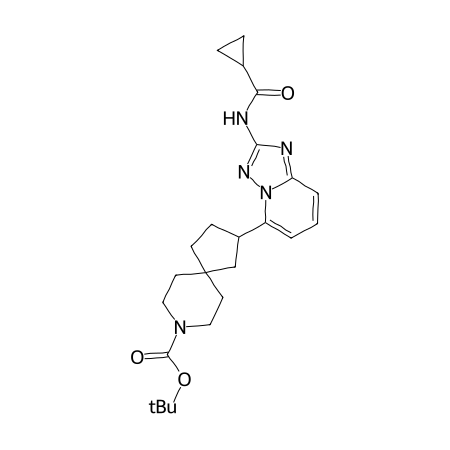 CC(C)(C)OC(=O)N1CCC2(CCC(c3cccc4nc(NC(=O)C5CC5)nn34)C2)CC1